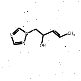 CC=CC(O)Cn1cncn1